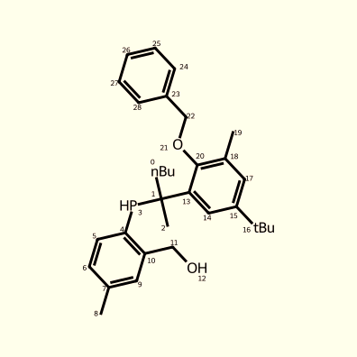 CCCCC(C)(Pc1ccc(C)cc1CO)c1cc(C(C)(C)C)cc(C)c1OCc1ccccc1